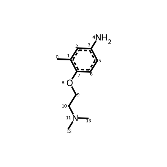 Cc1cc(N)ccc1OCCN(C)C